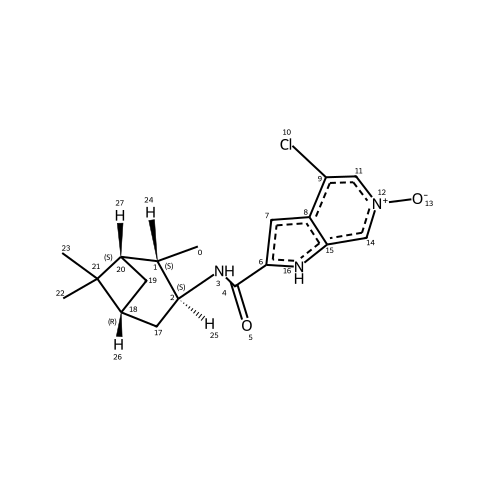 C[C@@H]1[C@@H](NC(=O)c2cc3c(Cl)c[n+]([O-])cc3[nH]2)C[C@H]2C[C@@H]1C2(C)C